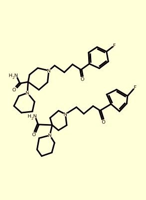 NC(=O)C1(N2CCCCC2)CCN(CCCC(=O)c2ccc(F)cc2)CC1.NC(=O)C1(N2CCCCC2)CCN(CCCC(=O)c2ccc(F)cc2)CC1